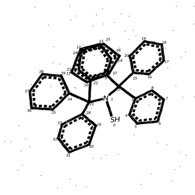 SN(C(c1ccccc1)(c1ccccc1)c1ccccc1)C(c1ccccc1)(c1ccccc1)c1ccccc1